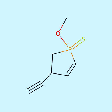 C#CC1C=CP(=S)(OC)C1